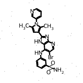 Cc1cc(-c2nc3ncc(Br)c(Nc4cccc(S(N)(=O)=O)c4)c3[nH]2)c(C)n1-c1cccnc1